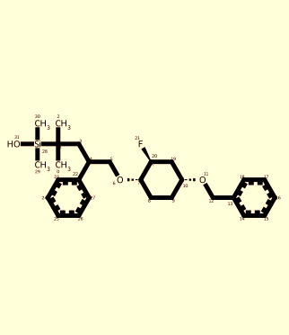 CC(C)(CC(CO[C@H]1CC[C@@H](OCc2ccccc2)C[C@@H]1F)c1ccccc1)[Si](C)(C)O